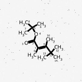 CC(C(=O)OC(C)(C)C)=C(C)C(C)(C)C